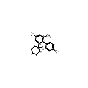 Cc1cc(C)c(-c2ccc(O)cc2)c(C2(C)CCCCC2)c1